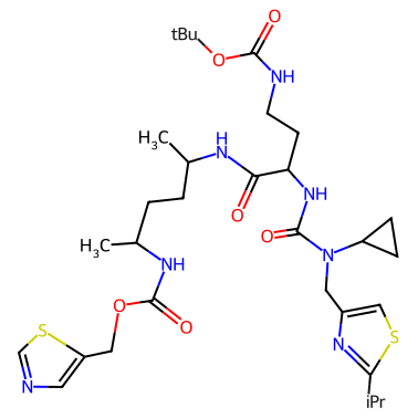 CC(CCC(C)NC(=O)C(CCNC(=O)OC(C)(C)C)NC(=O)N(Cc1csc(C(C)C)n1)C1CC1)NC(=O)OCc1cncs1